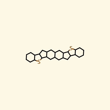 C1CCC2C(C1)SC1C3CC4CC5CC6C7CCCCC7SC6C5CC4CC3CC21